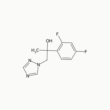 CC(O)(Cn1cncn1)c1ccc(F)cc1F